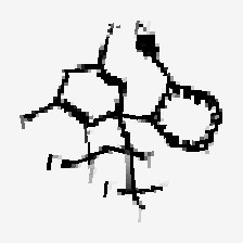 N#Cc1ccccc1C1(C(F)(C(F)(F)F)C(F)(F)F)C=C(Br)[CH]C(I)=C1